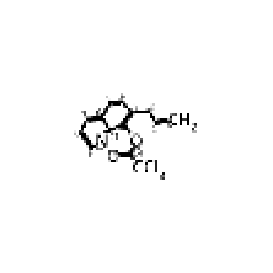 C=CCc1ccc2cccnc2c1OC(=O)C(Cl)(Cl)Cl